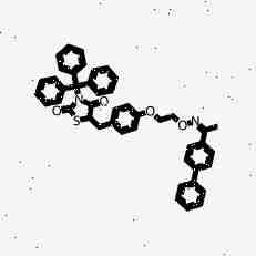 C/C(=N/OCCOc1ccc(CC2SC(=O)N(C(c3ccccc3)(c3ccccc3)c3ccccc3)C2=O)cc1)c1ccc(-c2ccccc2)cc1